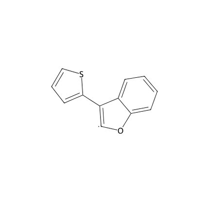 [c]1oc2ccccc2c1-c1cccs1